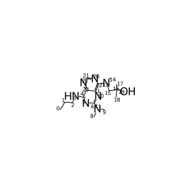 CCCNc1nc(N(C)C)nc2c(N(C)CC(C)(C)O)ncnc12